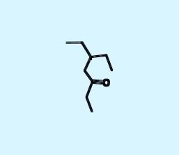 CC[C](CC)CC(=O)CC